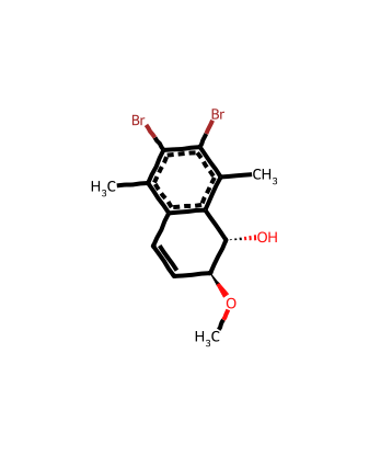 CO[C@H]1C=Cc2c(C)c(Br)c(Br)c(C)c2[C@@H]1O